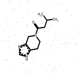 CC(C)CC(=O)N1CCc2[nH]cnc2C1